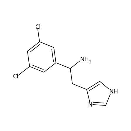 NC(Cc1c[nH]cn1)c1cc(Cl)cc(Cl)c1